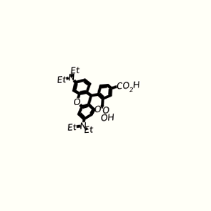 CCN(CC)c1ccc2c(c1)Oc1cc(N(CC)CC)ccc1C2c1ccc(C(=O)O)cc1C(=O)OO